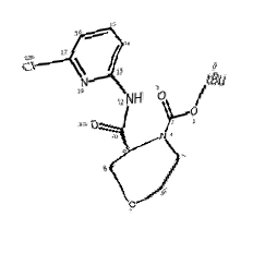 CC(C)(C)OC(=O)N1CCOC[C@H]1C(=O)Nc1cccc(Cl)n1